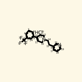 Cl.FC(F)(F)c1cccc(C2=CCN(CCc3cccnc3)CC2)c1